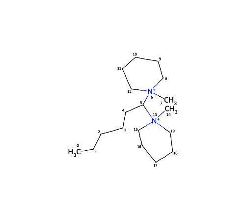 CCCCCC([N+]1(C)CCCCC1)[N+]1(C)CCCCC1